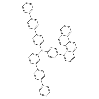 c1ccc(-c2ccc(-c3ccc(N(c4ccc(-c5cccc6ccc7c8ccccc8ccc7c56)cc4)c4cccc(-c5ccc(-c6ccccc6)cc5)c4)cc3)cc2)cc1